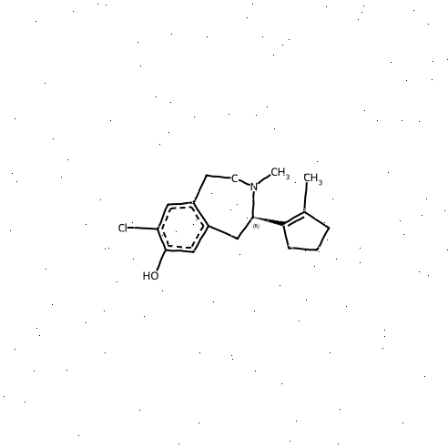 CC1=C([C@H]2Cc3cc(O)c(Cl)cc3CCN2C)CCC1